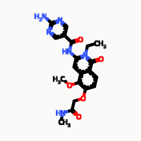 CCn1c(NC(=O)c2cnc(N)nc2)cc2c(OC)c(OCC(=O)NC)ccc2c1=O